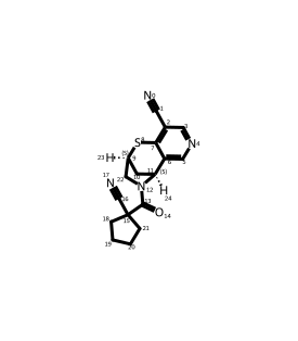 N#Cc1cncc2c1S[C@H]1C[C@@H]2N(C(=O)C2(C#N)CCCC2)C1